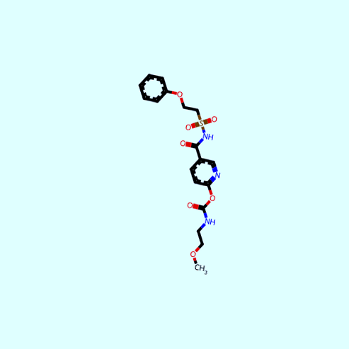 COCCNC(=O)Oc1ccc(C(=O)NS(=O)(=O)CCOc2ccccc2)cn1